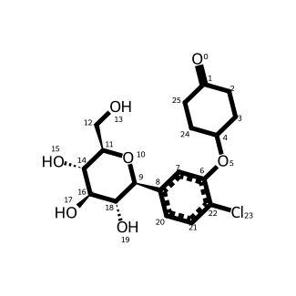 O=C1CCC(Oc2cc([C@@H]3O[C@H](CO)[C@@H](O)[C@H](O)[C@H]3O)ccc2Cl)CC1